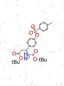 Cc1ccc(S(=O)(=O)Oc2ccc(C(CC(=O)OC(C)(C)C)C(N)C(=O)OC(C)(C)C)cc2)cc1